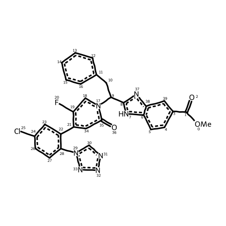 COC(=O)c1ccc2[nH]c(C(Cc3ccccc3)n3cc(F)c(-c4cc(Cl)ccc4-n4cnnn4)cc3=O)nc2c1